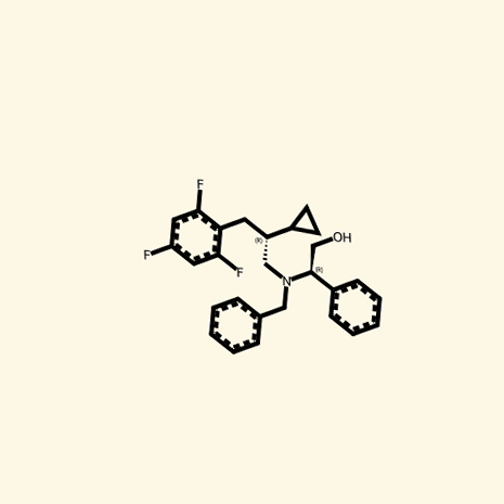 OC[C@@H](c1ccccc1)N(Cc1ccccc1)C[C@H](Cc1c(F)cc(F)cc1F)C1CC1